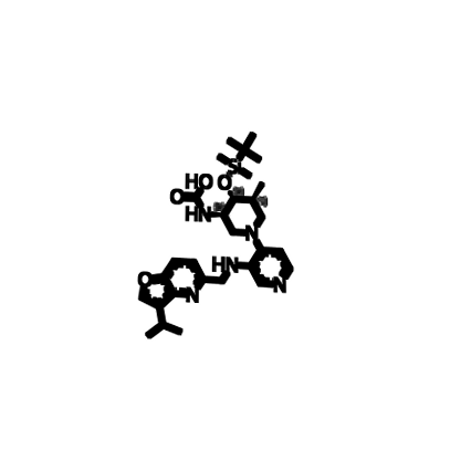 CC(C)c1coc2ccc(CNc3cnccc3N3C[C@H](C)[C@@H](O[Si](C)(C)C(C)(C)C)[C@H](NC(=O)O)C3)nc12